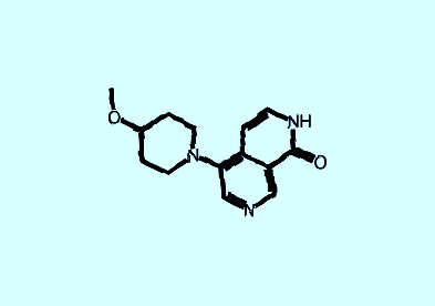 COC1CCN(c2cncc3c(=O)[nH]ccc23)CC1